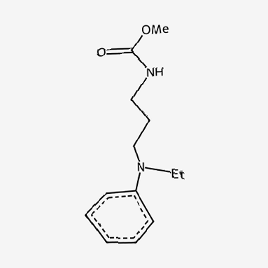 CCN(CCCNC(=O)OC)c1ccccc1